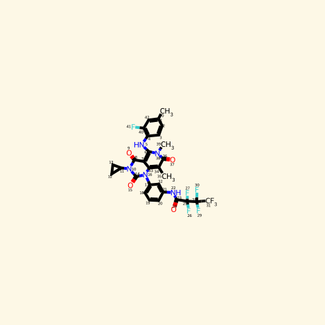 Cc1ccc(Nc2c3c(=O)n(C4CC4)c(=O)n(-c4cccc(NC(=O)C(F)(F)C(F)(F)C(F)(F)F)c4)c3c(C)c(=O)n2C)c(F)c1